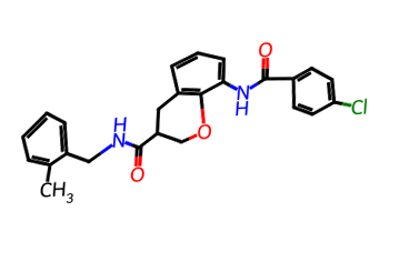 Cc1ccccc1CNC(=O)C1COc2c(cccc2NC(=O)c2ccc(Cl)cc2)C1